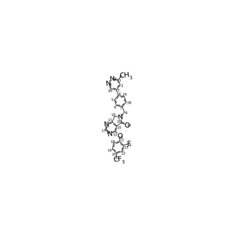 Cc1cc(-c2ccc(CN3Cc4ncnc(Oc5ccc(C(F)(F)F)cc5F)c4C3=O)cc2)cnn1